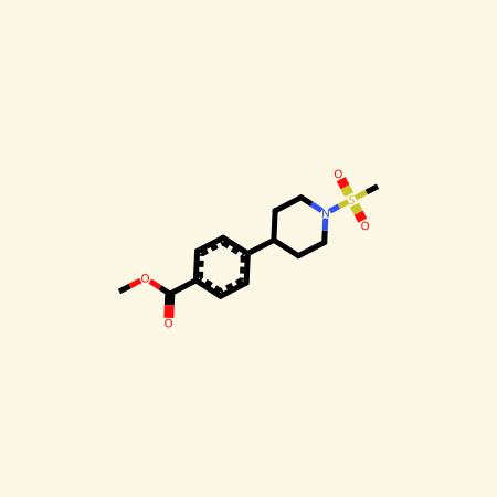 COC(=O)c1ccc(C2CCN(S(C)(=O)=O)CC2)cc1